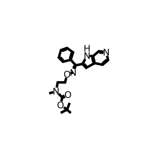 CN(CCON=C(c1ccccc1)c1cc2ccncc2[nH]1)C(=O)OC(C)(C)C